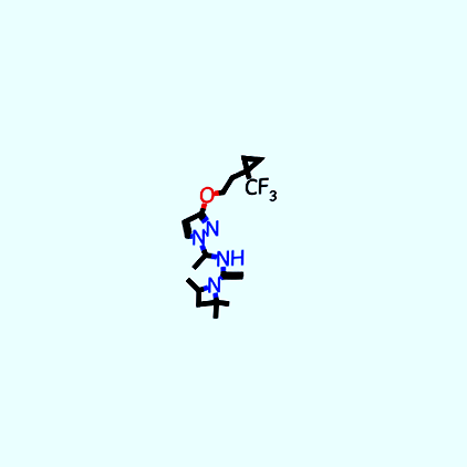 C=C(NC(C)n1ccc(OCCC2(C(F)(F)F)CC2)n1)N1C(C)CC1(C)C